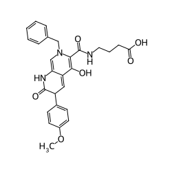 COc1ccc(C2C=C3C(=CN(Cc4ccccc4)C(C(=O)NCCCC(=O)O)=C3O)NC2=O)cc1